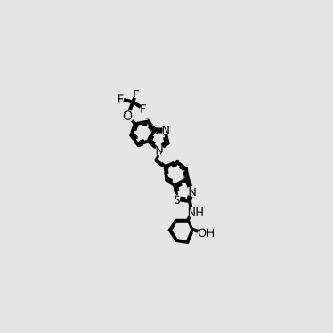 OC1CCCCC1Nc1nc2ccc(Cn3cnc4cc(OC(F)(F)F)ccc43)cc2s1